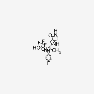 Cc1c(-c2cc3c([nH]2)CCNC3=O)cnn1-c1ccc(F)cc1.O=C(O)C(F)(F)F